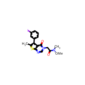 CON(C)C(=O)Cn1cnc2sc(C)c(-c3cccc(I)c3)c2c1=O